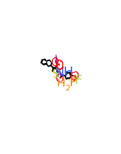 O=C(Nc1scc(C2CCc3ccccc3C2)c1C(=O)OI)c1ccc(OC(F)P)cc1